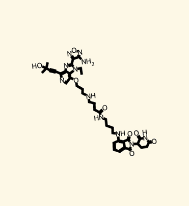 CCn1c(-c2nonc2N)nc2c(C#CC(C)(C)O)ncc(OCCCNCCCC(=O)NCCCCNc3cccc4c3C(=O)N(C3CCC(=O)NC3=O)C4=O)c21